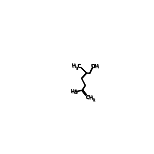 C=C(S)CCC(C)CO